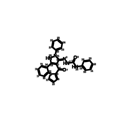 O=C(NN=c1c(C(=O)c2cccs2)c(-c2ccccc2)[nH]n1-c1ccccc1)Nc1ccccc1